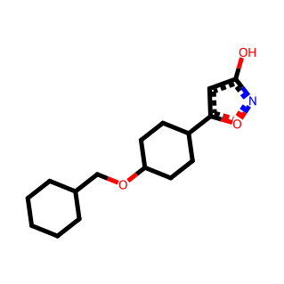 Oc1cc(C2CCC(OCC3CCCCC3)CC2)on1